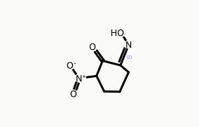 O=C1/C(=N\O)CCCC1[N+](=O)[O-]